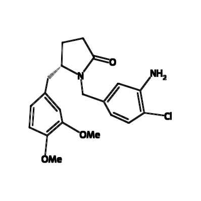 COc1ccc(C[C@@H]2CCC(=O)N2Cc2ccc(Cl)c(N)c2)cc1OC